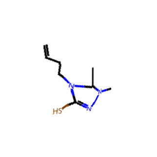 C=CCCN1C(S)=NN(C)C1C